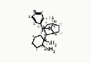 NC1CCCCC1(N)C1CC[C@H]2CCC1N2Cc1ccccc1